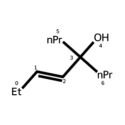 [CH2]CC=CC(O)(CCC)CCC